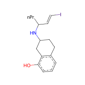 CCCC(C=CI)NC1CCc2cccc(O)c2C1